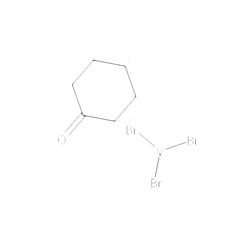 O=C1CCCCC1.[Br][V]([Br])[Br]